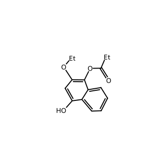 CCOc1cc(O)c2ccccc2c1OC(=O)CC